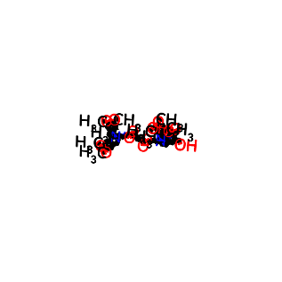 COc1ccc(CC2c3cc(OC)c(OC)cc3CC[N+]2(C)CCCOC(=O)C#CC(=O)OCCC[N+]2(C)CCc3cc(CO)c(CO)c(OC)c3C2c2ccc(OC)c(OC)c2)cc1OC